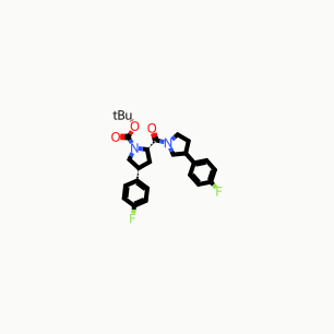 CC(C)(C)OC(=O)N1C[C@@H](c2ccc(F)cc2)C[C@H]1C(=O)N1CCC(c2ccc(F)cc2)C1